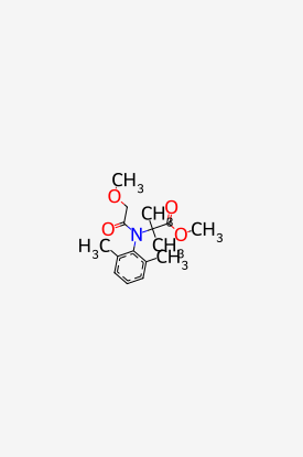 COCC(=O)N(c1c(C)cccc1C)C(C)(C)C(=O)OC